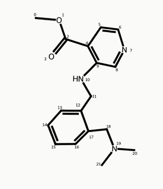 COC(=O)c1ccncc1NCc1ccccc1CN(C)C